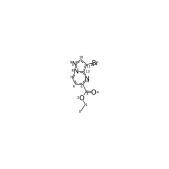 CCOC(=O)c1ccn2ncc(Br)c2n1